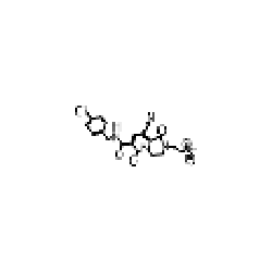 CS(=O)(=O)CCN1CCn2c(c(C#N)cc(C(=O)NCc3ccc(Cl)cc3)c2=O)C1=O